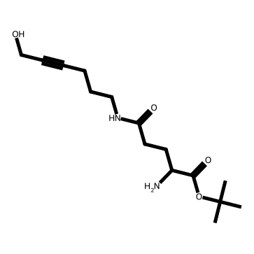 CC(C)(C)OC(=O)C(N)CCC(=O)NCCCC#CCO